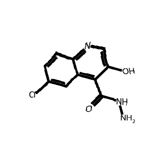 NNC(=O)c1c(O)cnc2ccc(Cl)cc12